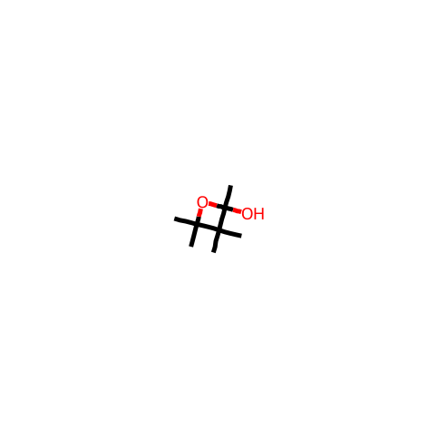 CC1(C)OC(C)(O)C1(C)C